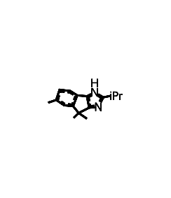 Cc1ccc2c(c1)C(C)(C)c1nc(C(C)C)[nH]c1-2